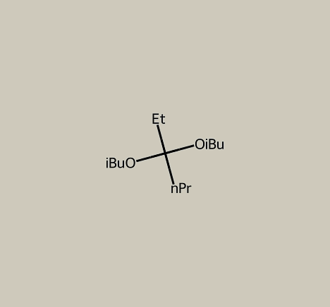 CCCC(CC)(OCC(C)C)OCC(C)C